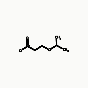 CC(C)OCC[N+](=O)[O-]